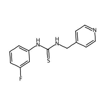 Fc1cccc(NC(=S)NCc2ccncc2)c1